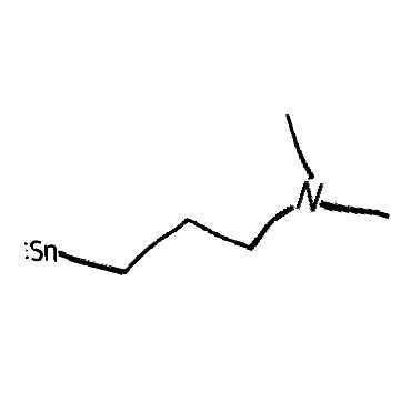 CN(C)CC[CH2][Sn]